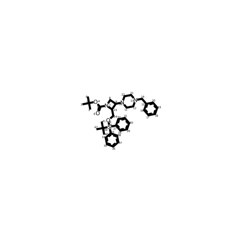 CC(C)(C)OC(=O)N1CC(N2CCN(Cc3ccccc3)CC2)C1CO[Si](c1ccccc1)(c1ccccc1)C(C)(C)C